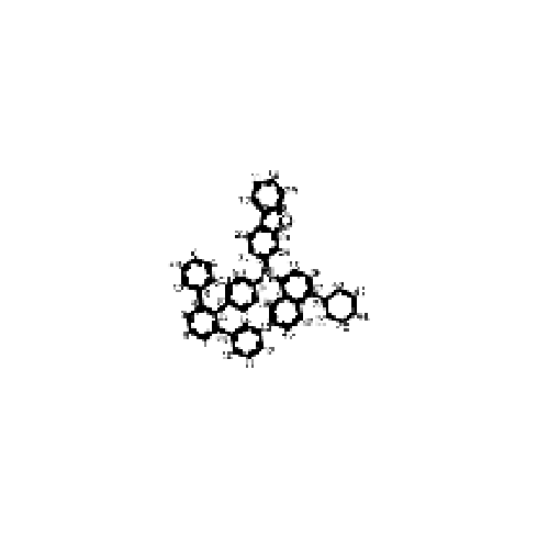 c1ccc(-c2cccc(-c3ccccc3)c2-c2ccc(N(c3ccc4c(c3)oc3ccccc34)c3ccc(C4CCCCC4)c4ccccc34)cc2)cc1